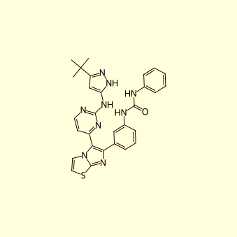 CC(C)(C)c1cc(Nc2nccc(-c3c(-c4cccc(NC(=O)Nc5ccccc5)c4)nc4sccn34)n2)[nH]n1